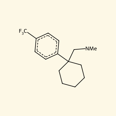 CNCC1(c2ccc(C(F)(F)F)cc2)CCCCC1